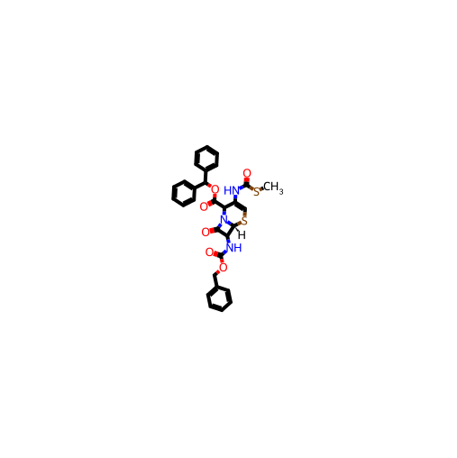 CSC(=O)NC1=CS[C@H]2C(NC(=O)OCc3ccccc3)C(=O)N2C1C(=O)OC(c1ccccc1)c1ccccc1